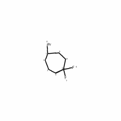 CC(C)C1CCCC(F)(F)CC1